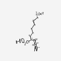 CCCCCCCCCCCCCCC(N=[N+]=[N-])C(=O)O